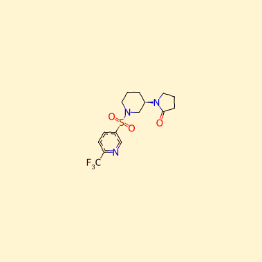 O=C1CCCN1[C@@H]1CCCN(S(=O)(=O)c2ccc(C(F)(F)F)nc2)C1